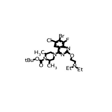 CCN(CC)CCOc1nc(N2CC(C)N(C(=O)OC(C)(C)C)C(C)C2)c2cc(Cl)c(Br)c(F)c2n1